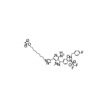 Cn1nc(-c2ccc(NS(=O)(=O)C(F)F)c(OCCc3ccc(F)cc3)c2)c2c(N)ncc(-c3cnn(CCCCCCCCCOS(C)(=O)=O)c3)c21